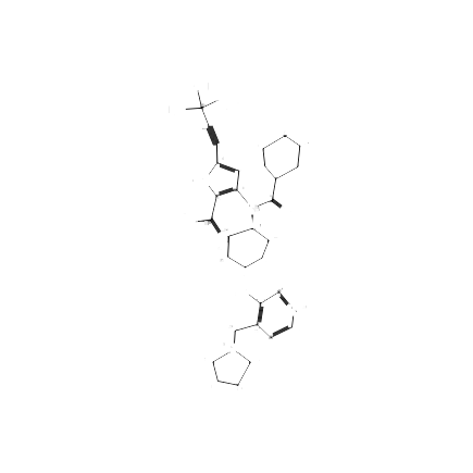 CC(C)(C)C#Cc1cc(N(C(=O)C2CCCCC2)[C@H]2CC[C@H](Oc3cnccc3CN3CCCC3)CC2)c(C(=O)O)s1